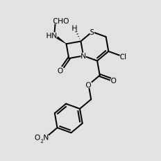 O=CN[C@@H]1C(=O)N2C(C(=O)OCc3ccc([N+](=O)[O-])cc3)=C(Cl)CS[C@H]12